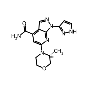 C[C@@H]1COCCN1c1cc(C(N)=O)c2cnn(-c3cc[nH]n3)c2n1